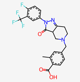 Cc1cc(CN2CCC3=NN(c4ccc(F)c(C(F)(F)F)c4)C(=O)C3C2)ccc1C(=O)O